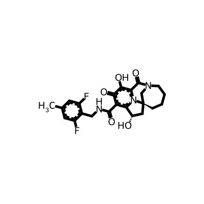 Cc1cc(F)c(CNC(=O)c2c3n4c(c(O)c2=O)C(=O)N2CCCC[C@]4(C[C@@H]3O)C2)c(F)c1